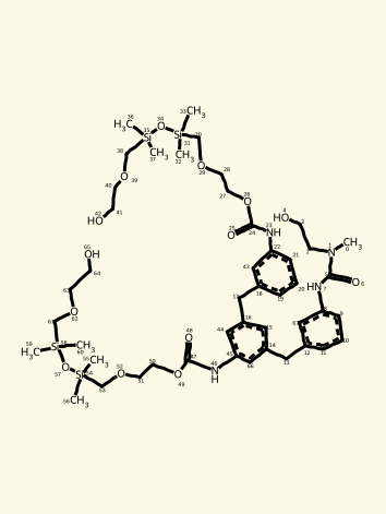 CN(CCO)C(=O)Nc1cccc(Cc2cc(Cc3cccc(NC(=O)OCCOC[Si](C)(C)O[Si](C)(C)COCCO)c3)cc(NC(=O)OCCOC[Si](C)(C)O[Si](C)(C)COCCO)c2)c1